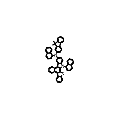 CC1(C)c2ccccc2-c2ccc(N(c3ccc4c(c3)c3c5ccccc5c5c6ccccc6sc5c3n4-c3cccc4ccccc34)c3cccc4ccccc34)cc21